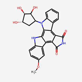 COc1ccc2[nH]c3c(c4c(c5c6ccccc6n(C6C[C@H](O)[C@@H](O)C6O)c35)C(=O)NC4=O)c2c1